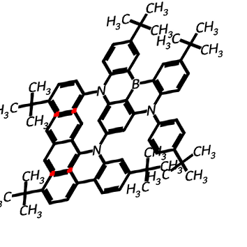 CC(C)(C)c1ccc(-c2ccc(C(C)(C)C)cc2N(c2cc3c4c(c2)N(c2ccc(C(C)(C)C)cc2)c2ccc(C(C)(C)C)cc2B4c2cc(C(C)(C)C)ccc2N3c2ccc(C(C)(C)C)cc2)c2cccc3ccccc23)cc1